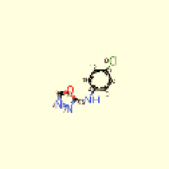 Clc1ccc(Nc2nnco2)cc1